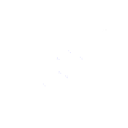 FC(F)(F)Oc1ccc(Nc2ncnc3c2cnn3CCn2cc3ccccc3c2)cc1